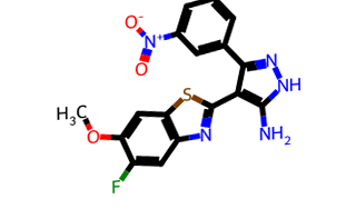 COc1cc2sc(-c3c(-c4cccc([N+](=O)[O-])c4)n[nH]c3N)nc2cc1F